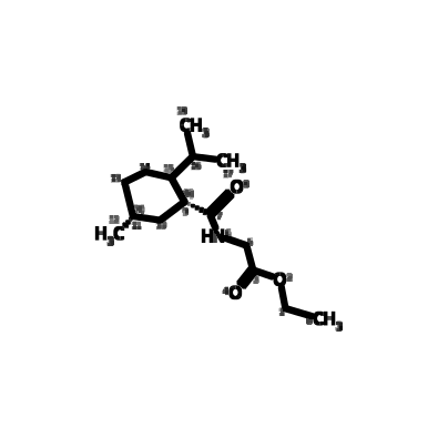 CCOC(=O)CNC(=O)[C@@H]1C[C@H](C)CCC1C(C)C